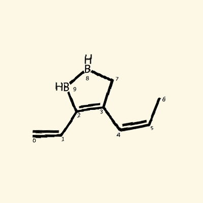 C=CC1=C(/C=C\C)CBB1